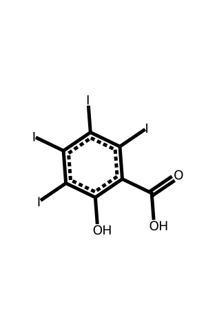 O=C(O)c1c(O)c(I)c(I)c(I)c1I